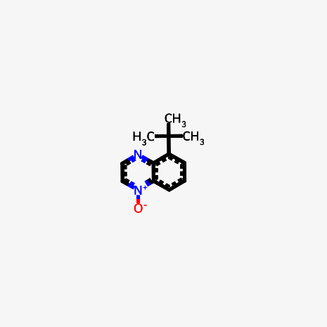 CC(C)(C)c1cccc2c1ncc[n+]2[O-]